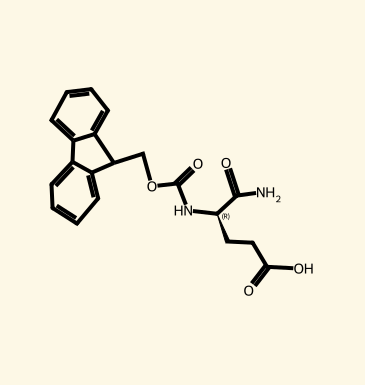 NC(=O)[C@@H](CCC(=O)O)NC(=O)OCC1c2ccccc2-c2ccccc21